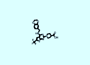 O=C(O)C1CCN(c2nc(NCc3ccc4c(c3)OCCO4)c3cc(C(F)(F)F)sc3n2)CC1